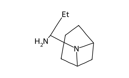 CCC(N)N1C2CCCC1C2